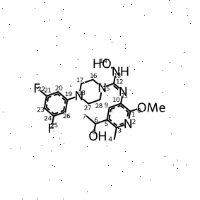 COc1nc(C)c(C(C)O)cc1N=C(NO)N1CCN(c2cc(F)cc(F)c2)CC1